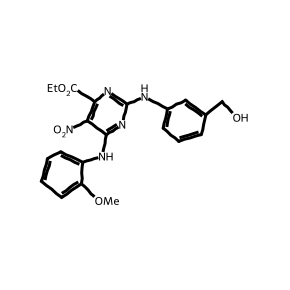 CCOC(=O)c1nc(Nc2cccc(CO)c2)nc(Nc2ccccc2OC)c1[N+](=O)[O-]